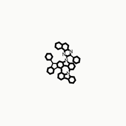 c1ccc(-c2nc3ccc4ccccc4c3nc2-n2c3cc4c(c5c6cccc7c8ccccc8n(c8cccc2c8c53)c76)-c2ccccc2C4c2ccccc2)cc1